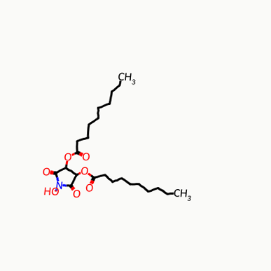 CCCCCCCCCC(=O)OC1C(=O)N(O)C(=O)C1OC(=O)CCCCCCCCC